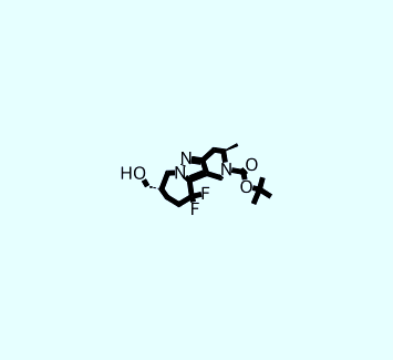 C[C@@H]1Cc2nn3c(c2CN1C(=O)OC(C)(C)C)C(F)(F)CC[C@H](CO)C3